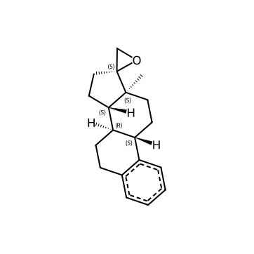 C[C@]12CC[C@@H]3c4ccccc4CC[C@H]3[C@@H]1CC[C@@]21CO1